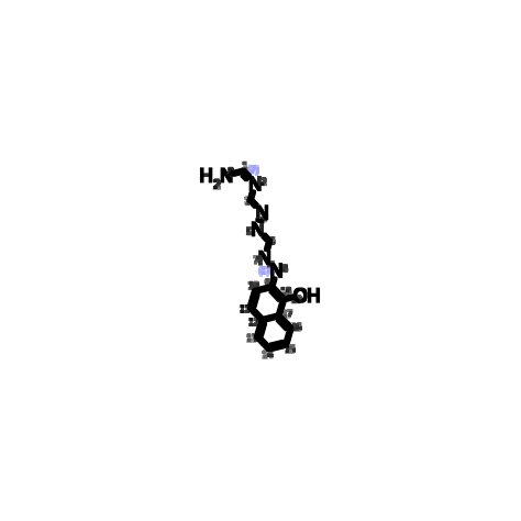 N/C=N\CN=NC/N=N/c1ccc2ccccc2c1O